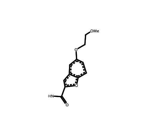 COCCOc1ccc2oc(C([NH])=O)cc2c1